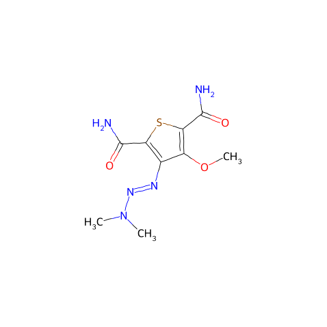 COc1c(C(N)=O)sc(C(N)=O)c1N=NN(C)C